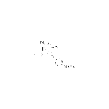 CNc1ccc(OCC2(CC3CCCCC3)NC(=N)N(C)C2=O)cc1